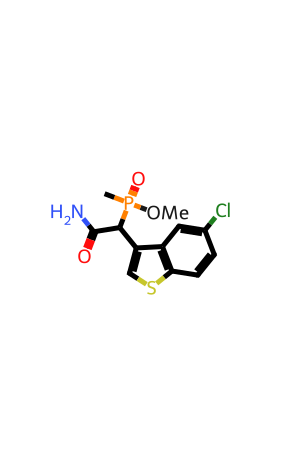 COP(C)(=O)C(C(N)=O)c1csc2ccc(Cl)cc12